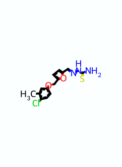 Cc1cc(OCc2ccc(C=NNC(N)=S)o2)ccc1Cl